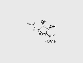 C=CCC1OC(C(C)OC)C(O)C1O